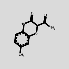 Cc1[c]cc2c(c1)OC(C(N)=O)C(=O)N2